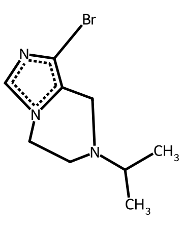 CC(C)N1CCn2cnc(Br)c2C1